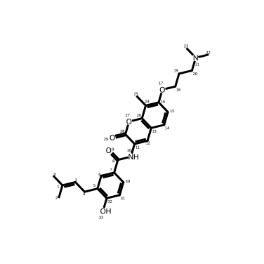 CC(C)=CCc1cc(C(=O)Nc2cc3ccc(OCCCN(C)C)c(C)c3oc2=O)ccc1O